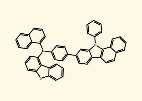 c1ccc(-n2c3cc(-c4ccc(N(c5cccc6ccccc56)c5cccc6sc7ccccc7c56)cc4)ccc3c3ccc4ccccc4c32)cc1